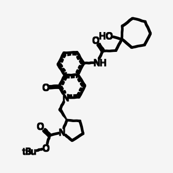 CC(C)(C)OC(=O)N1CCC[C@@H]1Cn1ccc2c(NC(=O)CC3(O)CCCCCC3)cccc2c1=O